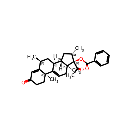 CC(=O)[C@@]1(OC(=O)c2ccccc2)[C@@H](C)C[C@H]2[C@@H]3C[C@H](C)C4=CC(=O)CC[C@]4(C)C3=CC[C@@]21C